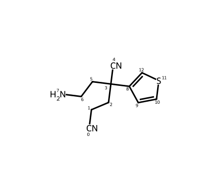 N#CCCC(C#N)(CCN)c1ccsc1